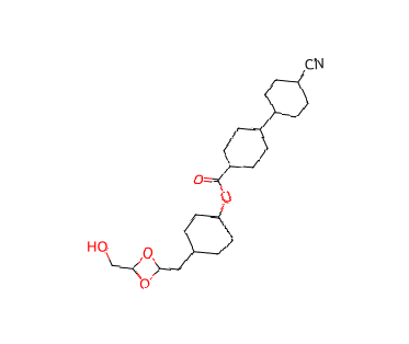 N#CC1CCC(C2CCC(C(=O)OC3CCC(CC4OC(CO)O4)CC3)CC2)CC1